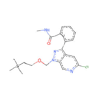 CNC(=O)c1ccccc1-c1nn(COCC[Si](C)(C)C)c2cnc(Cl)cc12